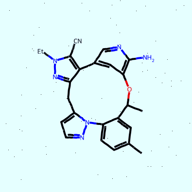 CCn1nc2c(c1C#N)-c1cnc(N)c(c1)OC(C)c1cc(C)ccc1-n1nccc1C2